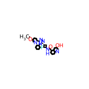 CCOc1ccc(-c2nnc([C@H]3C[C@H](NC(=O)c4cccc5ncc(O)cc45)C3)n2-c2ccccc2F)nc1